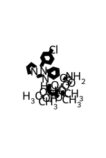 CC1(C)O[C@@H]2[C@@H](CO[C@@]3(COS(N)(=O)=O)OC(C)(C)O[C@@H]23)O1.Clc1ccc(Cn2c(CN3CCCC3)nc3ccccc32)cc1